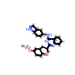 COC1=CC2CC(c3nc(Nc4ccc5[nH]ncc5c4)c4ccccc4n3)COC2C=C1